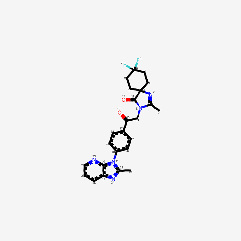 CC1=NC2(CCC(F)(F)CC2)C(=O)N1CC(=O)c1ccc(-n2c(C)nc3cccnc32)cc1